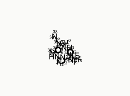 C=CC(=O)Nc1cc(Nc2nccc(-c3nc(C(F)(F)F)c4ccccn34)n2)c(OC)cc1N(C)CCN(C)C